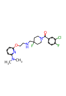 CN(C)c1cccc(OCCNCC2(F)CCN(C(=O)c3ccc(F)c(Cl)c3)CC2)n1